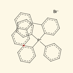 [Br-].c1ccc([P+](c2ccccc2)(c2ccccc2)c2ccccc2-c2cccc3ccccc23)cc1